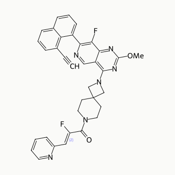 C#Cc1cccc2cccc(-c3ncc4c(N5CC6(CCN(C(=O)/C(F)=C/c7ccccn7)CC6)C5)nc(OC)nc4c3F)c12